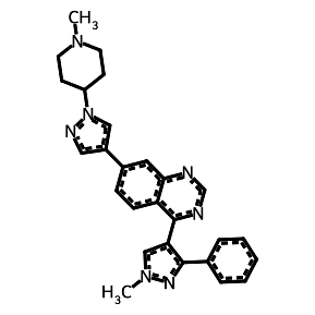 CN1CCC(n2cc(-c3ccc4c(-c5cn(C)nc5-c5ccccc5)ncnc4c3)cn2)CC1